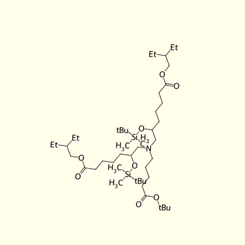 CCC(CC)COC(=O)CCCCC(CN(CCCCC(=O)OC(C)(C)C)CC(CCCCC(=O)OCC(CC)CC)O[Si](C)(C)C(C)(C)C)O[Si](C)(C)C(C)(C)C